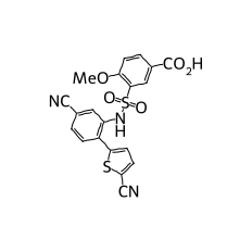 COc1ccc(C(=O)O)cc1S(=O)(=O)Nc1cc(C#N)ccc1-c1ccc(C#N)s1